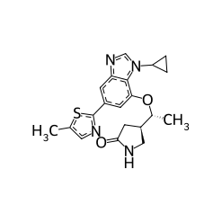 Cc1cnc(-c2cc(O[C@H](C)[C@H]3CNC(=O)C3)c3c(c2)ncn3C2CC2)s1